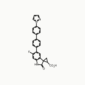 O=C(O)C1CC12C(=O)Nc1cc(F)c(-c3ccc(-c4ccc(-n5cccn5)cc4)cc3)cc12